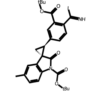 Cc1ccc2c(c1)[C@]1(C[C@H]1c1ccc(C(=N)I)c(C(=O)OC(C)(C)C)c1)C(=O)N2C(=O)OC(C)(C)C